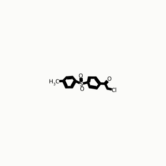 Cc1ccc(S(=O)(=O)c2ccc(C(=O)CCl)cc2)cc1